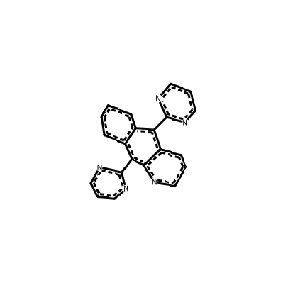 c1cnc(-c2c3ccccc3c(-c3ncccn3)c3ncccc23)nc1